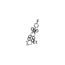 CCC1CC2CC23CC3C12OOC1(CCN(S(=O)(=O)c3ccc(F)cc3)CC1)OO2